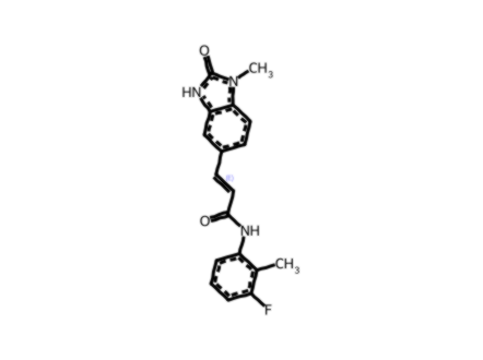 Cc1c(F)cccc1NC(=O)/C=C/c1ccc2c(c1)[nH]c(=O)n2C